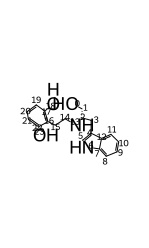 OC[C@H](Cc1c[nH]c2ccccc12)NCCc1c(O)cccc1O